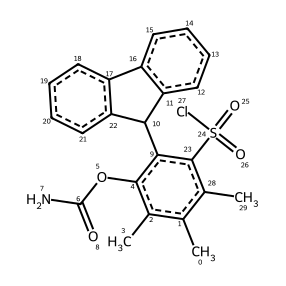 Cc1c(C)c(OC(N)=O)c(C2c3ccccc3-c3ccccc32)c(S(=O)(=O)Cl)c1C